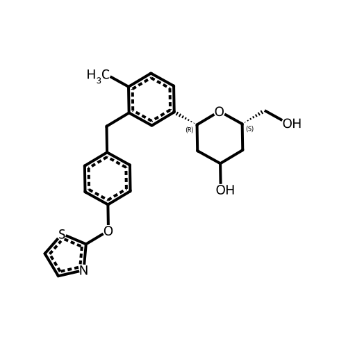 Cc1ccc([C@H]2CC(O)C[C@@H](CO)O2)cc1Cc1ccc(Oc2nccs2)cc1